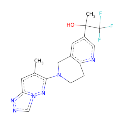 Cc1cc2nncn2nc1N1CCc2ncc(C(C)(O)C(F)(F)F)cc2C1